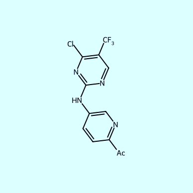 CC(=O)c1ccc(Nc2ncc(C(F)(F)F)c(Cl)n2)cn1